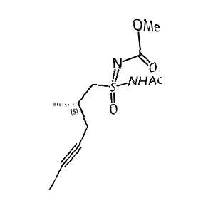 CC#CC[C@H](C)CS(=O)(=NC(=O)OC)NC(C)=O